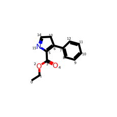 CCOC(=O)C1=C(c2ccccc2)CC=N1